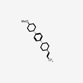 CO[C@H]1CC[C@H](c2ccc([C@H]3CC[C@H](C=CC(F)(F)F)CC3)cc2)CC1